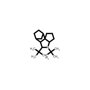 CC(C)(C)C1C2C3CCC(C3)C23CCCC3N1C(C)(C)C